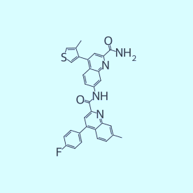 Cc1ccc2c(-c3ccc(F)cc3)cc(C(=O)Nc3ccc4c(-c5cscc5C)cc(C(N)=O)nc4c3)nc2c1